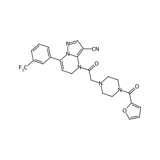 N#Cc1cnn2c1N(C(=O)CN1CCN(C(=O)c3ccco3)CC1)CC=C2c1cccc(C(F)(F)F)c1